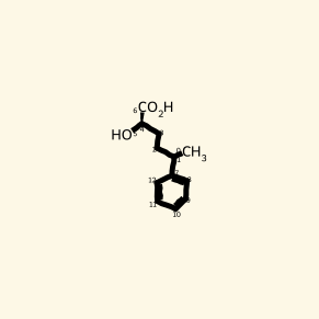 CC(CC[C@@H](O)C(=O)O)c1ccccc1